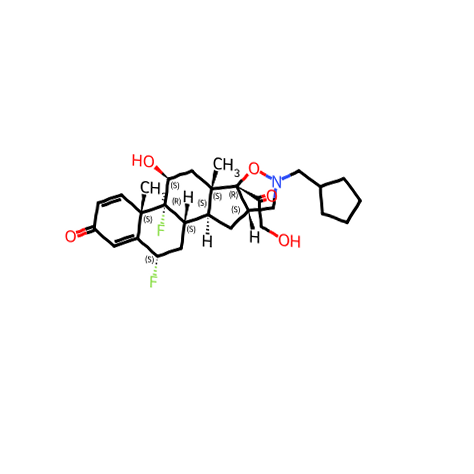 C[C@]12C=CC(=O)C=C1[C@@H](F)C[C@H]1[C@@H]3C[C@H]4CN(CC5CCCC5)O[C@@]4(C(=O)CO)[C@@]3(C)C[C@H](O)[C@@]12F